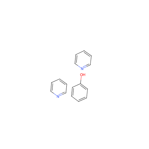 Oc1ccccc1.c1ccncc1.c1ccncc1